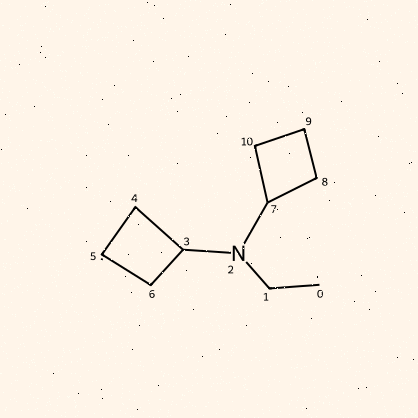 CCN(C1C[CH]C1)C1CCC1